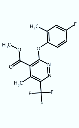 COC(=O)c1c(Oc2ccc(F)cc2C)nnc(C(F)(F)F)c1C